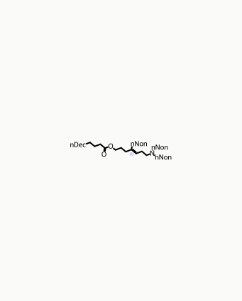 CCCCCCCCCCCCCC(=O)OCCC/C(=C/CCN(CCCCCCCCC)CCCCCCCCC)CCCCCCCCC